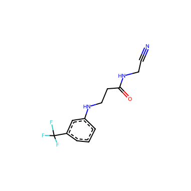 N#CCNC(=O)CCNc1cccc(C(F)(F)F)c1